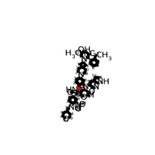 CC(C)c1ccccc1[C@@H]1CC[C@@](C)(O)CN1C1CC2(CCN(c3ccc(C(=O)NS(=O)(=O)c4ccc(NCC5CCOCC5)c([N+](=O)[O-])c4)c(N4c5cc6cc[nH]c6nc5O[C@H]5COCC[C@@H]54)c3)CC2)C1